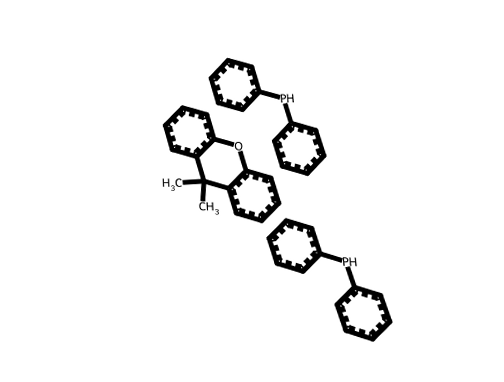 CC1(C)c2ccccc2Oc2ccccc21.c1ccc(Pc2ccccc2)cc1.c1ccc(Pc2ccccc2)cc1